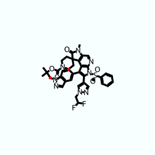 CN1C(=O)C2(CCN(C(=O)OC(C)(C)C)CC2)c2c1cnc1c2c(-c2ccc3c(cnn3C)c2)c(-c2cnn(CC(F)F)c2)n1S(=O)(=O)c1ccccc1